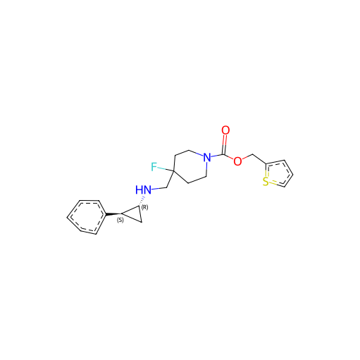 O=C(OCc1cccs1)N1CCC(F)(CN[C@@H]2C[C@H]2c2ccccc2)CC1